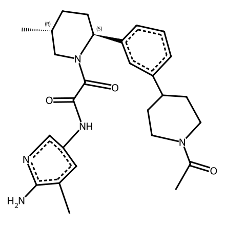 CC(=O)N1CCC(c2cccc([C@@H]3CC[C@@H](C)CN3C(=O)C(=O)Nc3cnc(N)c(C)c3)c2)CC1